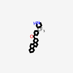 C1=CC=CNC=C1.O=C(c1ccc(C(F)(F)F)cc1)C1C=c2c(ccc3c2=CCc2ccccc2-3)CC1